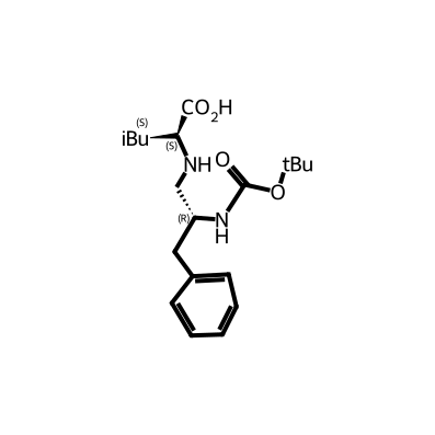 CC[C@H](C)[C@H](NC[C@@H](Cc1ccccc1)NC(=O)OC(C)(C)C)C(=O)O